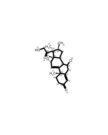 C[C@H]1CC2C3C(=CC[C@]2(C)[C@@]1(C)C(=O)CO)[C@@]1(C)CCC(=O)C=C1CC3Cl